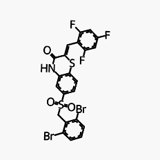 O=C1Nc2cc(S(=O)(=O)Cc3c(Br)cccc3Br)ccc2S/C1=C\c1c(F)cc(F)cc1F